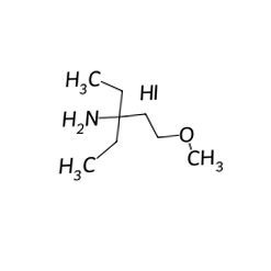 CCC(N)(CC)CCOC.I